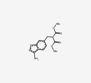 CC(C)(C)OC(=O)N(Cc1ccc2c(N)noc2c1)C(=O)OC(C)(C)C